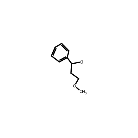 COCCC(Cl)c1ccccc1